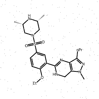 CCCc1nn(C)c2c1N=C(c1cc(S(=O)(=O)N3C[C@@H](C)N[C@@H](C)C3)ccc1OCC)NC2